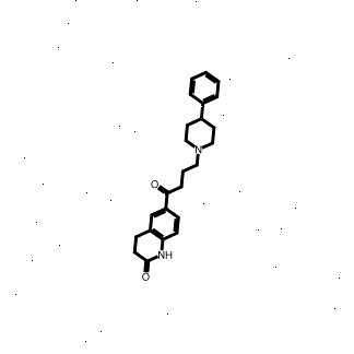 O=C1CCc2cc(C(=O)CCCN3CCC(c4ccccc4)CC3)ccc2N1